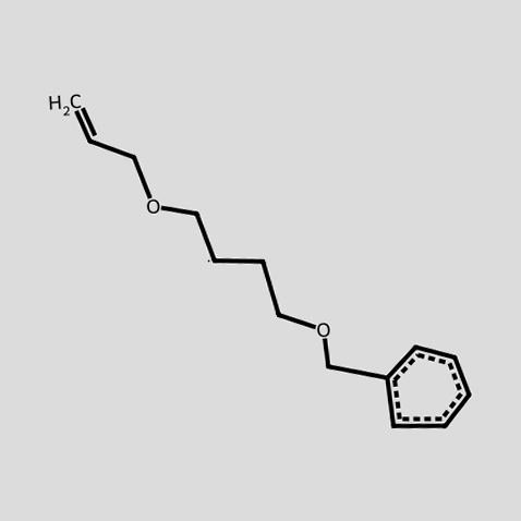 C=CCOC[CH]CCOCc1ccccc1